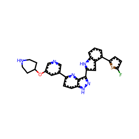 Fc1ccc(-c2cccc3[nH]c(-c4n[nH]c5ccc(-c6cncc(OC7CCNCC7)c6)nc45)cc23)s1